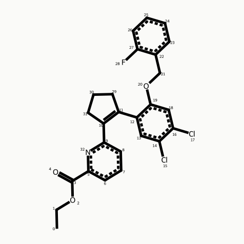 CCOC(=O)c1cccc(C2=C(c3cc(Cl)c(Cl)cc3OCc3ccccc3F)CCC2)n1